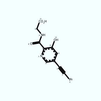 CC(C)C#Cc1cnc(C(=O)NCC(=O)O)c(O)c1